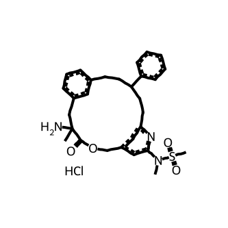 CN(c1cc2cc(n1)CCC(c1ccccc1)CCc1cccc(c1)CC(C)(N)C(=O)OC2)S(C)(=O)=O.Cl